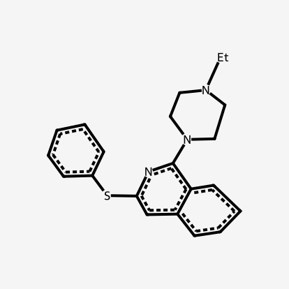 CCN1CCN(c2nc(Sc3ccccc3)cc3ccccc23)CC1